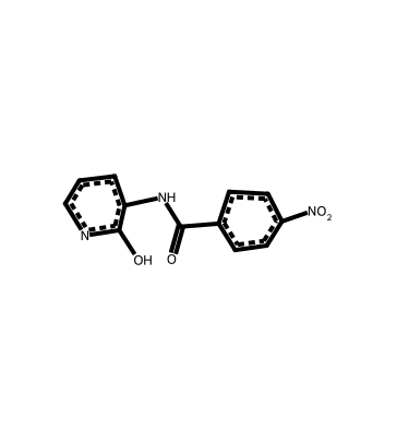 O=C(Nc1cccnc1O)c1ccc([N+](=O)[O-])cc1